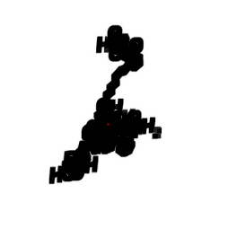 CCCC[C@H](NC(=O)c1cc2cc(C(F)(F)P(=O)(O)O)ccc2[nH]1)C(=O)N1C[C@H](OCCCCCCC#Cc2cccc3c2CN(C2CCC(=O)NC2=O)C3=O)C[C@H]1C(=O)N[C@@H](CNC(N)=O)C(=O)NC(c1ccccc1)c1ccccc1